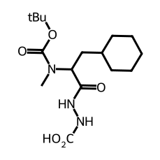 CN(C(=O)OC(C)(C)C)C(CC1CCCCC1)C(=O)NNC(=O)O